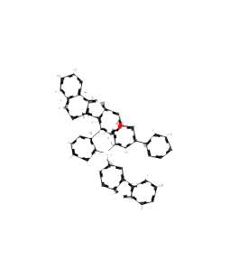 c1ccc(-c2cccc(N(c3ccc4sc5ccccc5c4c3)c3ccccc3-c3cccc4oc5c6ccccc6ccc5c34)c2)cc1